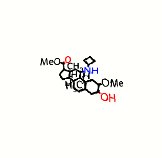 COC(=O)C1CC[C@H]2[C@@H]3CCC4CC(O)C(OC)C[C@]4(C)[C@@H]3C(NC3CCC3)C[C@]12C